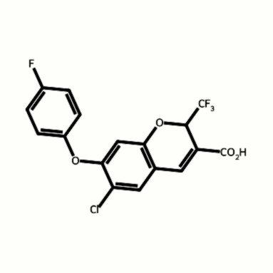 O=C(O)C1=Cc2cc(Cl)c(Oc3ccc(F)cc3)cc2OC1C(F)(F)F